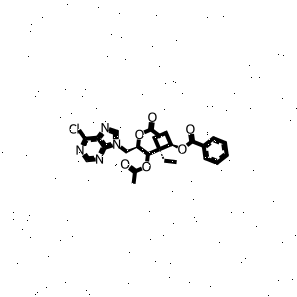 CC[C@]1(C(OC(C)=O)[C@@H](Cn2cnc3c(Cl)ncnc32)OC(C)=O)CC[C@H]1OC(=O)c1ccccc1